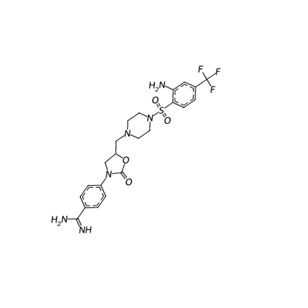 N=C(N)c1ccc(N2CC(CN3CCN(S(=O)(=O)c4ccc(C(F)(F)F)cc4N)CC3)OC2=O)cc1